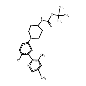 Cc1cnc(-c2nc(N3CCC(NC(=O)OC(C)(C)C)CC3)ccc2Cl)c(C)c1